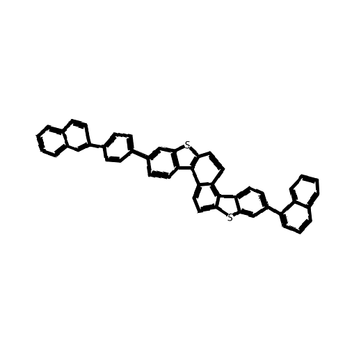 c1ccc2cc(-c3ccc(-c4ccc5c(c4)sc4ccc6c(ccc7sc8cc(-c9cccc%10ccccc9%10)ccc8c76)c45)cc3)ccc2c1